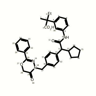 CCC(C)(C(=O)O)c1cccc(NC(=O)C(c2ccc(CN3N=C(c4ccccc4)OCC3=O)cc2)C2CCCC2)c1